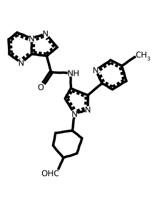 Cc1ccc(-c2nn(C3CCC(C=O)CC3)cc2NC(=O)c2cnn3cccnc23)nc1